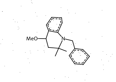 COC1CC(C)(C)N(Cc2ccccc2)c2ccccc21